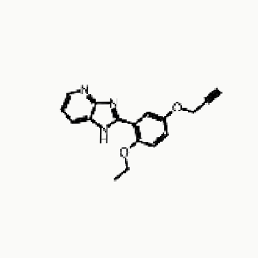 C#CCOc1ccc(OCC)c(-c2nc3ncccc3[nH]2)c1